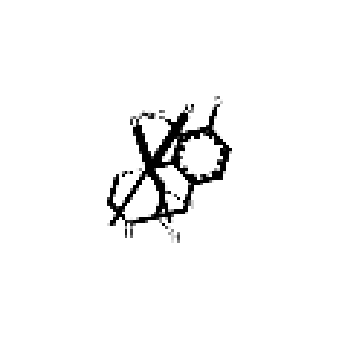 COc1c(O)ccc2c1[C@]13CCN[C@H](C2)[C@@H]1CCC(=O)C3=O